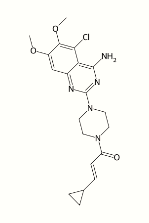 COc1cc2nc(N3CCN(C(=O)/C=C/C4CC4)CC3)nc(N)c2c(Cl)c1OC